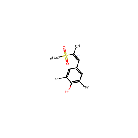 CCCCCCS(=O)(=O)/C(C#N)=C\c1cc(C(C)C)c(O)c(C(C)C)c1